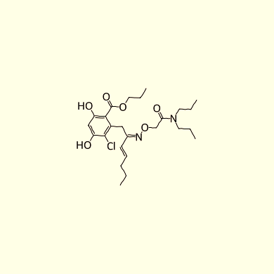 CCC/C=C/C(Cc1c(Cl)c(O)cc(O)c1C(=O)OCCC)=N/OCC(=O)N(CCC)CCC